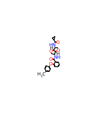 Cc1ccc(Oc2ccccc2C(=O)N[C@H]2CO[C@H]3[C@@H]2OC[C@@H]3NC(=O)C2CC2)cc1